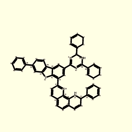 C1=CCCC(C2N=C(c3cc(-c4ccc5ccc6c(c5n4)NC(c4ccccc4)C=C6)c4sc5cc(-c6ccccc6)ccc5c4c3)N=C(C3=CCCC=C3)N2)=C1